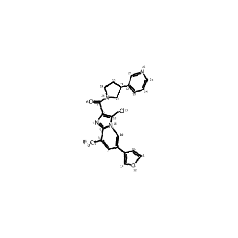 O=C(c1nc2c(C(F)(F)F)cc(-c3ccoc3)cn2c1Cl)N1CCC(c2cccnc2)C1